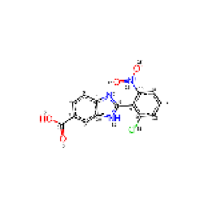 O=C(O)c1ccc2nc(-c3c(Cl)cccc3[N+](=O)[O-])[nH]c2c1